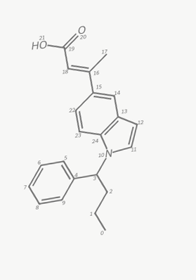 CCCC(c1ccccc1)n1ccc2cc(/C(C)=C/C(=O)O)ccc21